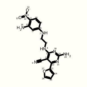 N#Cc1c(NCCNc2ccc([N+](=O)[O-])c(N)c2)nc(N)nc1-c1ccco1